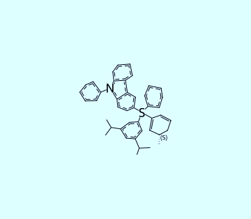 CC(C)c1cc(C(C)C)cc(S(C2=C[C@@H](C)CC=C2)(c2ccccc2)c2ccc3c(c2)c2ccccc2n3-c2ccccc2)c1